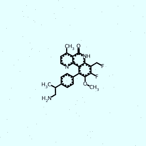 COc1c(F)c(CF)c2[nH]c(=O)c3c(C)ccnc3c2c1-c1ccc(C(C)CN)cc1